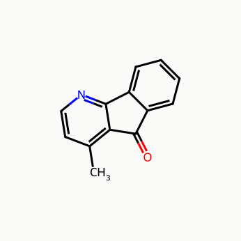 Cc1ccnc2c1C(=O)c1ccccc1-2